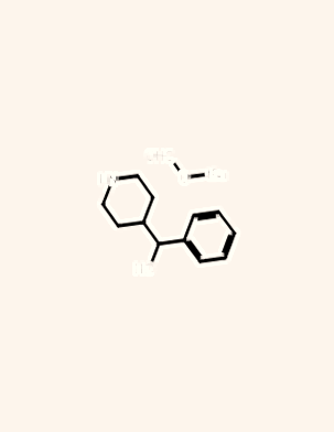 CC(C)(C)OC=O.OC(c1ccccc1)C1CCNCC1